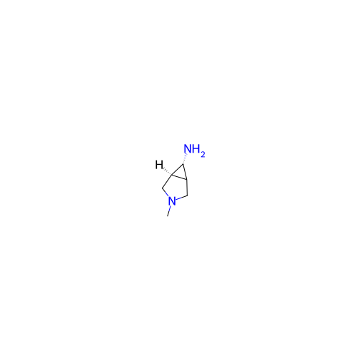 CN1CC2[C@@H](N)[C@@H]2C1